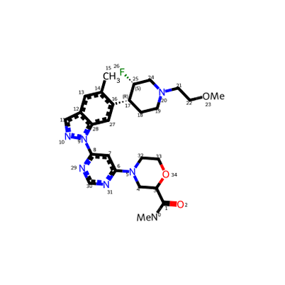 CNC(=O)C1CN(c2cc(-n3ncc4cc(C)c([C@H]5CCN(CCOC)C[C@H]5F)cc43)ncn2)CCO1